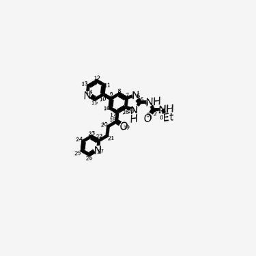 CCNC(=O)Nc1nc2cc(-c3cccnc3)cc(C(=O)CCc3ccccn3)c2[nH]1